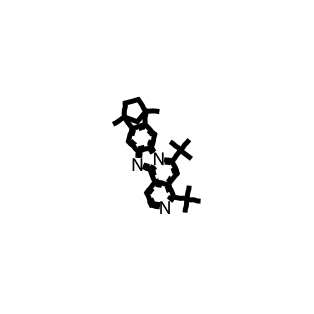 CC(C)(C)c1nccc2c1cc(C(C)(C)C)n1c3cc4c(cc3nc21)C1(C)CCC4(C)C1